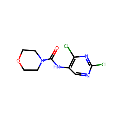 O=C(Nc1cnc(Cl)nc1Cl)N1CCOCC1